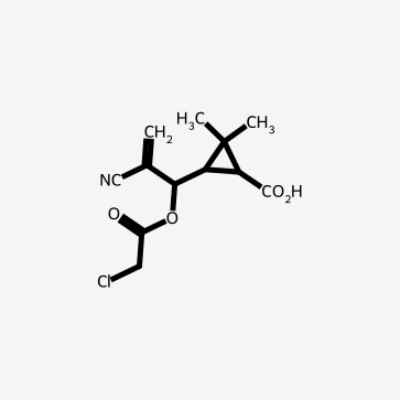 C=C(C#N)C(OC(=O)CCl)C1C(C(=O)O)C1(C)C